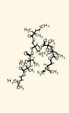 CCCC(C)(C)C(=O)OCC(CC)(COC(=O)C(C)(C)CC(C)(CC)C(=O)OCCN(C)C)COC(=O)C(C)(CC)CC(C)(C)C(=O)OCCN(C)C